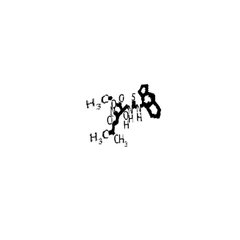 CCOC(=O)C(O)(CNC(=S)Nc1c2c(cc3c1CCC3)CCC2)c1cc(C(C)C)on1